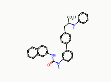 CN(C(=O)Nc1ccc2ccccc2c1)c1cccc(-c2ccc(CC(Nc3ccccc3)C(=O)O)cc2)c1